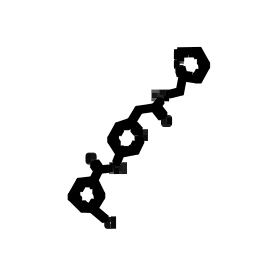 O=C(Cc1ccc(NC(=O)c2cccc(Cl)c2)cn1)NCc1ccccc1